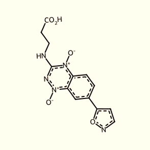 O=C(O)CCNc1n[n+]([O-])c2cc(-c3ccno3)ccc2[n+]1[O-]